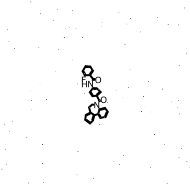 O=C(Nc1ccc(C(=O)N2CCc3ccccc3-c3ccccc32)cc1)c1ccccc1F